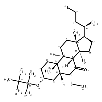 CC[C@H]1C(=O)[C@@H]2[C@H](CC[C@]3(C)[C@@H]([C@H](C)CCI)CC[C@@H]23)[C@@]2(C)CC[C@@H](O[Si](C)(C)C(C)(C)C)C[C@@H]12